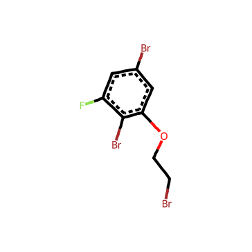 Fc1cc(Br)cc(OCCBr)c1Br